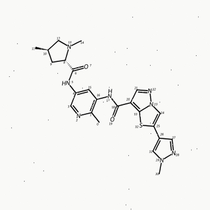 Cc1ncc(NC(=O)[C@@H]2C[C@@H](C)CN2C)cc1NC(=O)c1cnn2cc(-c3cnn(C)c3)sc12